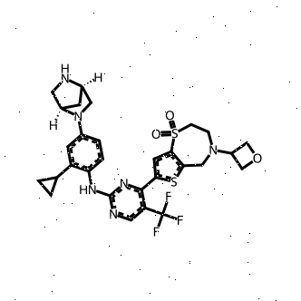 O=S1(=O)CCN(C2COC2)Cc2sc(-c3nc(Nc4ccc(N5C[C@H]6C[C@@H]5CN6)cc4C4CC4)ncc3C(F)(F)F)cc21